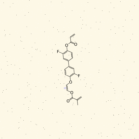 C=CC(=O)Oc1ccc(-c2ccc(O/C=C\OC(=O)C(=C)C)c(F)c2)cc1F